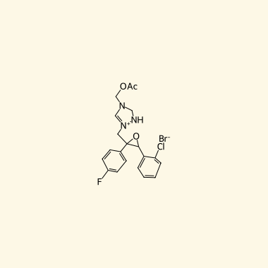 CC(=O)OCN1C=[N+](CC2(c3ccc(F)cc3)OC2c2ccccc2Cl)NC1.[Br-]